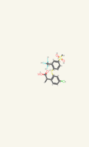 CC(C(=O)O)c1ccc(Cl)cc1Sc1ccc(S(C)(=O)=O)cc1C(F)(F)F